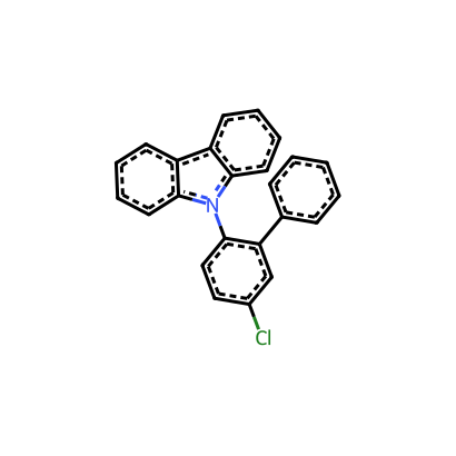 Clc1ccc(-n2c3ccccc3c3ccccc32)c(-c2ccccc2)c1